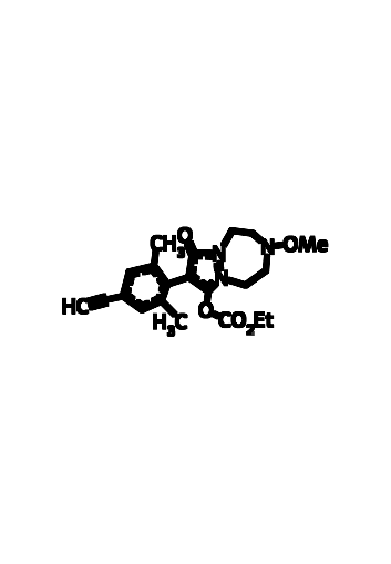 C#Cc1cc(C)c(-c2c(OC(=O)OCC)n3n(c2=O)CCN(OC)CC3)c(C)c1